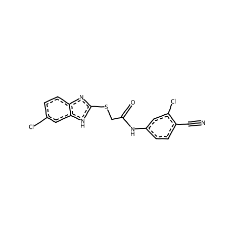 N#Cc1ccc(NC(=O)CSc2nc3ccc(Cl)cc3[nH]2)cc1Cl